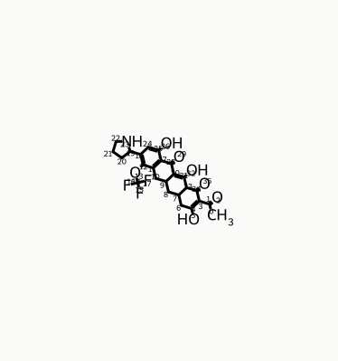 CC(=O)C1=C(O)CC2CC3Cc4c(OC(F)(F)F)c(C5CCCN5)cc(O)c4C(=O)C3=C(O)C2C1=O